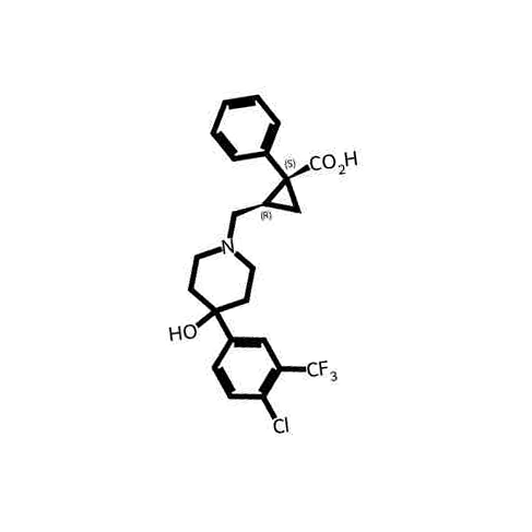 O=C(O)[C@@]1(c2ccccc2)C[C@H]1CN1CCC(O)(c2ccc(Cl)c(C(F)(F)F)c2)CC1